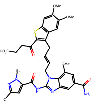 CCn1nc(C)cc1C(=O)Nc1nc2cc(C(N)=O)cc(OC)c2n1C/C=C/Cc1c(C(=O)CCC(=O)O)sc2cc(OC)c(OC)cc12